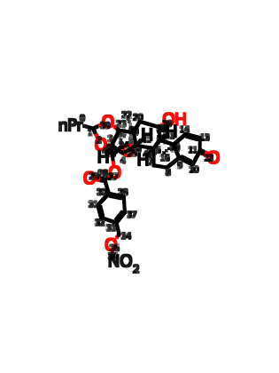 CCCC1O[C@@H]2C[C@H]3[C@@H]4CCC5=CC(=O)C=C[C@]5(C)[C@H]4[C@@H](O)C[C@]3(C)[C@]2(C(=O)COC(=O)c2ccc(CO[N+](=O)[O-])cc2)O1